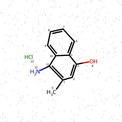 Cc1cc(O)c2ccccc2c1N.Cl